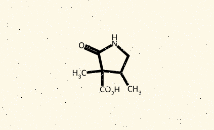 CC1CNC(=O)C1(C)C(=O)O